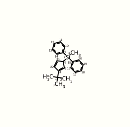 CC(C)(C)C1=C[C]([Si](C)(c2ccccc2)c2ccccc2)C=C1